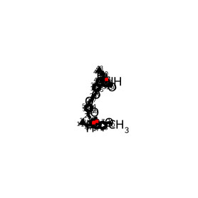 COc1ccc2c(c1)[C@]13CCN(CC4CC4)[C@H](C2)C1=CN(Cc1ccc(OCCOc2ccc4c(c2)[C@]25CCN(CC6CC6)[C@H](C4)[C@@H]2CNC(=O)C5)cc1)C(=O)C3